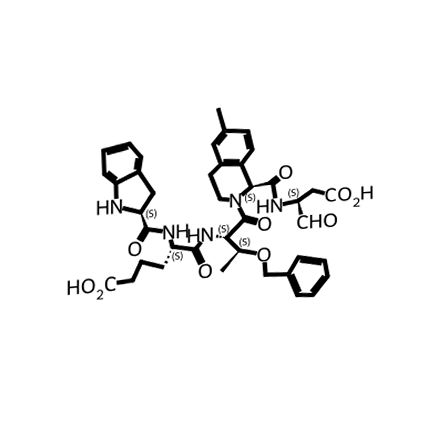 Cc1ccc2c(c1)CCN(C(=O)[C@@H](NC(=O)[C@H](CCCC(=O)O)NC(=O)[C@@H]1Cc3ccccc3N1)[C@H](C)OCc1ccccc1)[C@@H]2C(=O)N[C@H](C=O)CC(=O)O